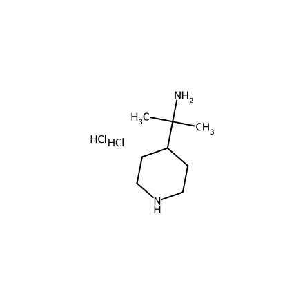 CC(C)(N)C1CCNCC1.Cl.Cl